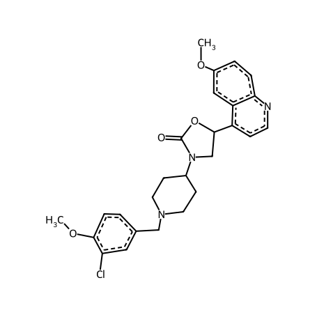 COc1ccc2nccc(C3CN(C4CCN(Cc5ccc(OC)c(Cl)c5)CC4)C(=O)O3)c2c1